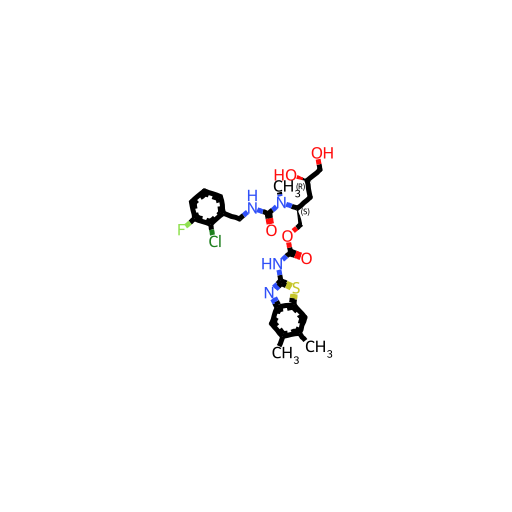 Cc1cc2nc(NC(=O)OC[C@H](C[C@@H](O)CO)N(C)C(=O)NCc3cccc(F)c3Cl)sc2cc1C